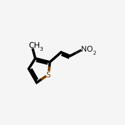 Cc1ccsc1C=C[N+](=O)[O-]